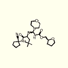 CC(C)(C)CC(/N=C(\NC(=O)OCC1CCCO1)N1CCOCC1)C(=O)NC1(C#N)CCCC1